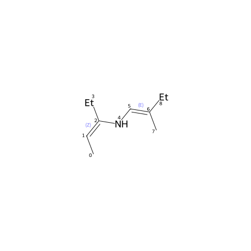 C/C=C(/CC)N/C=C(\C)CC